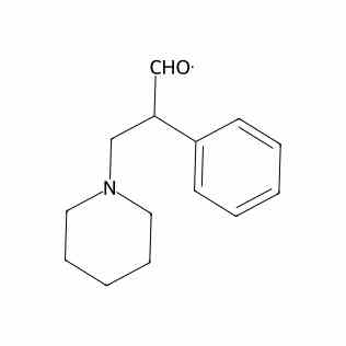 O=[C]C(CN1CCCCC1)c1ccccc1